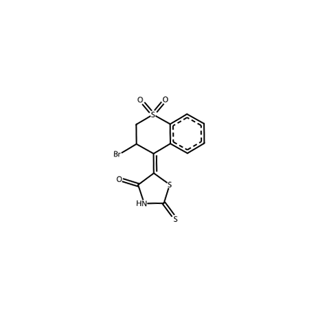 O=C1NC(=S)SC1=C1c2ccccc2S(=O)(=O)CC1Br